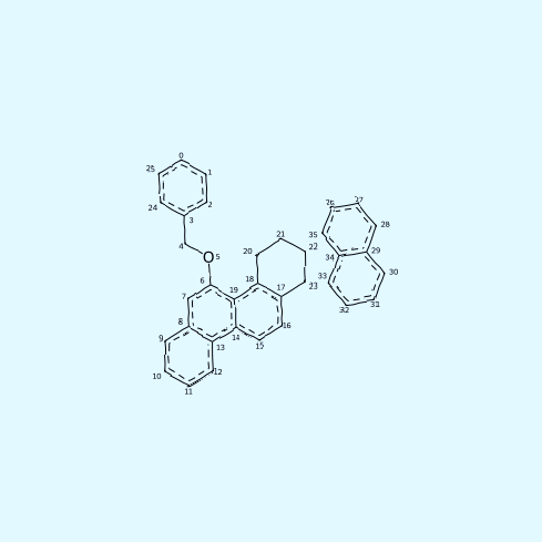 c1ccc(COc2cc3ccccc3c3ccc4c(c23)CCCC4)cc1.c1ccc2ccccc2c1